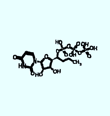 CCCC(OP(=O)(O)OP(=O)(O)OP(=O)(O)O)[C@H]1O[C@@H](n2ccc(=O)[nH]c2=O)[C@H](O)[C@@H]1O